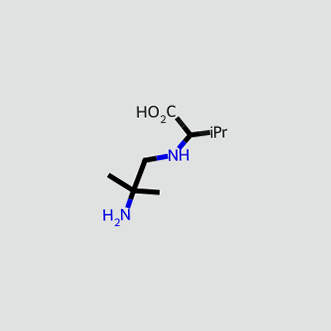 CC(C)C(NCC(C)(C)N)C(=O)O